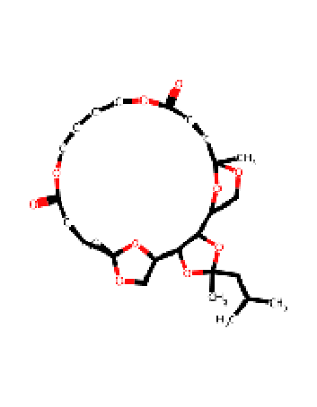 CC(C)CC1(C)OC2C3COC(C)(CCC(=O)OCCCCOC(=O)CCC4(C)OCC(O4)C2O1)O3